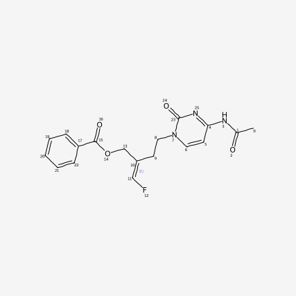 CC(=O)Nc1ccn(CC/C(=C\F)COC(=O)c2ccccc2)c(=O)n1